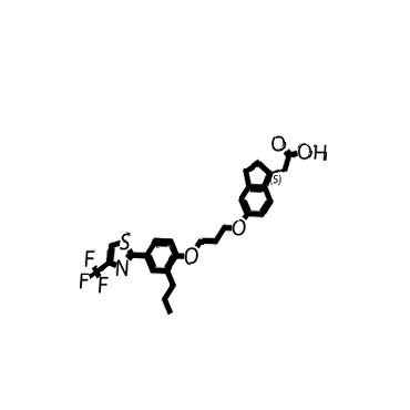 CCCc1cc(-c2nc(C(F)(F)F)cs2)ccc1OCCCOc1ccc2c(c1)CC[C@H]2CC(=O)O